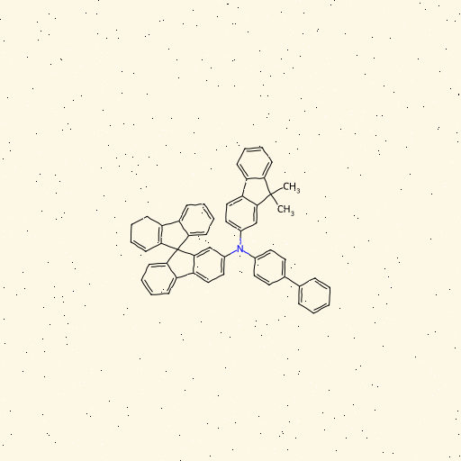 CC1(C)c2ccccc2-c2ccc(N(c3ccc(-c4ccccc4)cc3)c3ccc4c(c3)C3(C5=C(CCC=C5)c5ccccc53)c3ccccc3-4)cc21